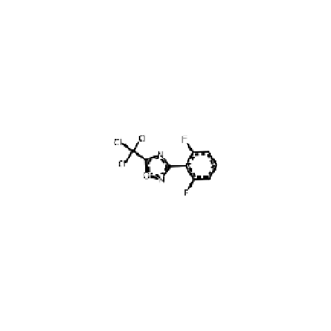 Fc1cccc(F)c1-c1noc(C(Cl)(Cl)Cl)n1